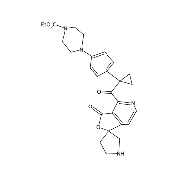 CCOC(=O)N1CCN(c2ccc(C3(C(=O)c4nccc5c4C(=O)OC54CCNC4)CC3)cc2)CC1